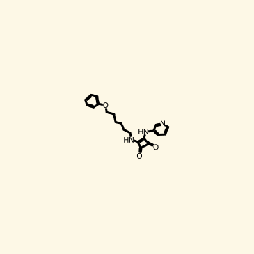 O=c1c(NCCCCCCOc2ccccc2)c(Nc2cccnc2)c1=O